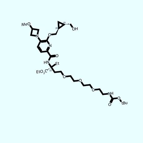 CCOC(=O)[C@](CC)(CCOCCOCCOCCNC(=O)OC(C)(C)C)NC(=O)c1ccc(N2CC(OC)C2)c(OC[C@H]2C[C@@H]2CO)n1